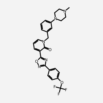 CN1CCN(c2cccc(Cn3cccc(-c4nc(-c5ccc(OC(F)(F)F)cc5)no4)c3=O)c2)CC1